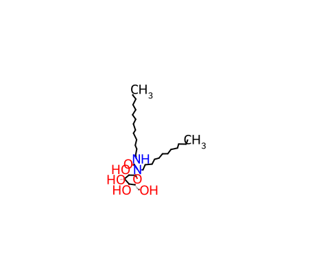 CCCCCCCCCCCCCCNC(=O)N(CCCCCCCCCCCC)[C@@H]1O[C@H](CO)[C@@H](O)[C@H](O)[C@H]1O